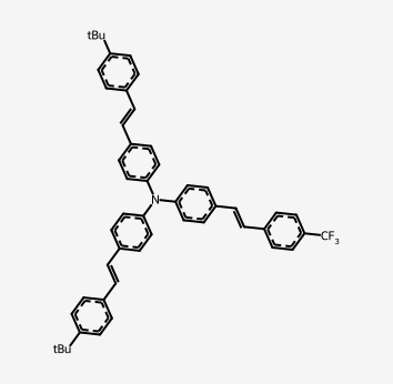 CC(C)(C)c1ccc(/C=C/c2ccc(N(c3ccc(/C=C/c4ccc(C(C)(C)C)cc4)cc3)c3ccc(/C=C/c4ccc(C(F)(F)F)cc4)cc3)cc2)cc1